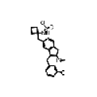 CNC1Cc2ccc(CC3(N[SH](=O)=O)CCC3)cc2C1Cc1cccc(Cl)c1